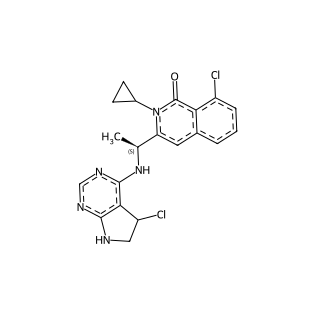 C[C@H](Nc1ncnc2c1C(Cl)CN2)c1cc2cccc(Cl)c2c(=O)n1C1CC1